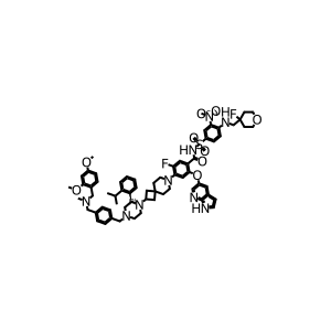 COc1ccc(CN(C)Cc2ccc(CN3CCN(C4CC5(CCN(c6cc(Oc7cnc8[nH]ccc8c7)c(C(=O)NS(=O)(=O)c7ccc(NCC8(F)CCOCC8)c([N+](=O)[O-])c7)cc6F)CC5)C4)[C@H](c4ccccc4C(C)C)C3)cc2)c(OC)c1